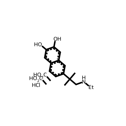 CC(=O)O.CC(=O)O.CCNCC(C)(C)c1ccc2cc(O)c(O)cc2c1.Cl